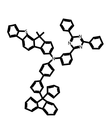 CC1(C)c2ccc(N(c3ccc(-c4cccc(C5(c6ccccc6)c6ccccc6-c6ccccc65)c4)cc3)c3cccc(-c4nc(-c5ccccc5)nc(-c5ccccc5)n4)c3)cc2-c2ccc3c(sc4ccccc43)c21